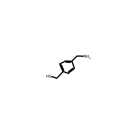 NCc1ccc(CS)cc1